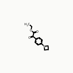 CCOC(=O)C(=O)c1ccc(N2CCC2)cc1